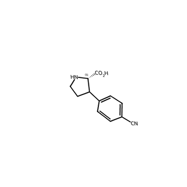 N#Cc1ccc(C2CCN[C@@H]2C(=O)O)cc1